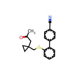 CC(=O)CC1(CSc2ccccc2-c2ccc(C#N)cc2)CC1